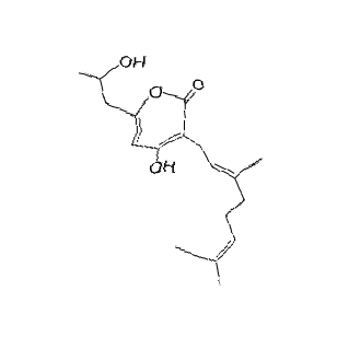 CC(C)=CCC/C(C)=C/Cc1c(O)cc(CC(C)O)oc1=O